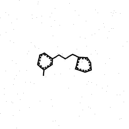 Cc1cccc(CCCc2ccccc2)c1